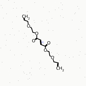 C=CCOCCOC(=O)/C=C/C(=O)OCCOCC=C